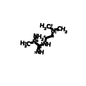 CN(C)CCNC(=N)N(C)N